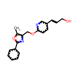 Cc1oc(-c2ccccc2)nc1COc1ccc(C=CCO)cn1